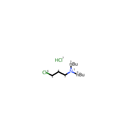 CCCCN(CCCC)CCCCl.Cl